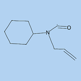 C=CCN([C]=O)C1CCCCC1